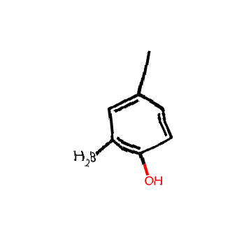 Bc1cc(C)ccc1O